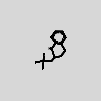 FC(F)(F)CC1CCc2ccccc2N1